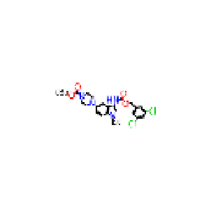 CCn1cc(NC(=O)OCc2cc(Cl)cc(Cl)c2)c2cc(N3CCN(C(=O)OC(C)(C)C)CC3)ccc21